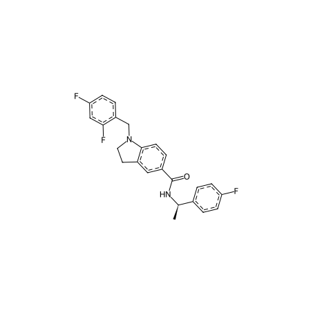 C[C@@H](NC(=O)c1ccc2c(c1)CCN2Cc1ccc(F)cc1F)c1ccc(F)cc1